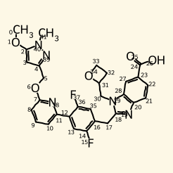 COc1cc(COc2cccc(-c3cc(F)c(Cc4nc5ccc(C(=O)O)cc5n4CC4CCO4)cc3F)n2)nn1C